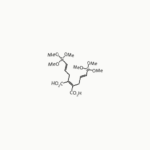 CO[Si](C=CCC(C(=O)O)=C(CC=C[Si](OC)(OC)OC)C(=O)O)(OC)OC